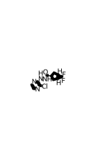 O=C(NNc1nccnc1Cl)[C@H]1C[C@@H]2[C@H](C1)C2(F)F